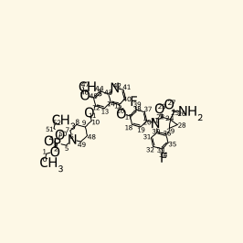 CCOP(=O)(CN1CCC(COc2cc3c(Oc4ccc(N(C(=O)C5(C(N)=O)CC5)c5ccc(F)cc5)cc4F)ccnc3cc2OC)CC1)OCC